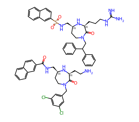 N=C(N)NCCC[C@@H]1N[C@H](CNS(=O)(=O)c2ccc3ccccc3c2)CCN(CC(c2ccccc2)c2ccccc2)C1=O.NCC[C@@H]1N[C@H](CNC(=O)c2ccc3ccccc3c2)CCN(Cc2cc(Cl)cc(Cl)c2)C1=O